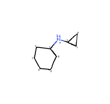 C1CCC(N[C]2CC2)CC1